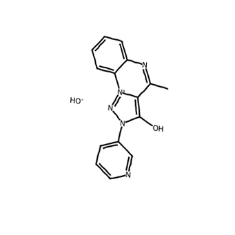 Cc1nc2ccccc2[n+]2nn(-c3cccnc3)c(O)c12.[OH-]